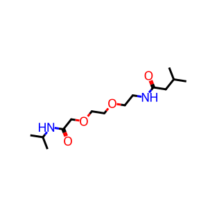 CC(C)CC(=O)NCCOCCOCC(=O)NC(C)C